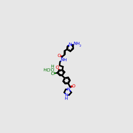 Cl.Cl.Nc1ccc(C=CC(=O)NCC2Cc3cc(-c4ccc(C(=O)N5CCNCC5)cc4)cc(Cl)c3O2)cn1